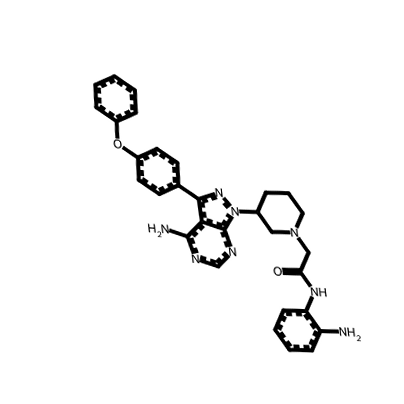 Nc1ccccc1NC(=O)CN1CCCC(n2nc(-c3ccc(Oc4ccccc4)cc3)c3c(N)ncnc32)C1